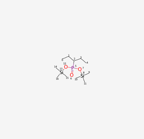 CCC(CC)P(=O)(O[Si](C)(C)C)O[Si](C)(C)C